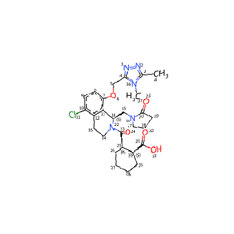 Cc1nnc(COc2ccc(Cl)c3c2[C@@H](CN2CCCC2=O)N(C(=O)[C@@H]2CCCC[C@@H]2C(=O)O)CC3)n1C